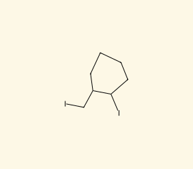 ICC1CCCCC1I